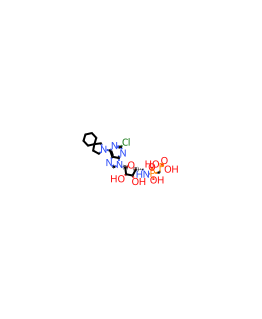 O=P(O)(O)CP(=O)(O)NC[C@H]1O[C@@H](n2cnc3c(N4CCC5(CCCCC5)C4)nc(Cl)nc32)C(O)C1O